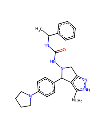 CC(=O)Nc1[nH]nc2c1C(c1ccc(N3CCCC3)cc1)N(NC(=O)NC(C)c1ccccc1)C2